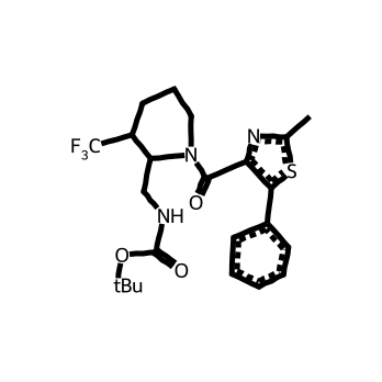 Cc1nc(C(=O)N2CCCC(C(F)(F)F)C2CNC(=O)OC(C)(C)C)c(-c2ccccc2)s1